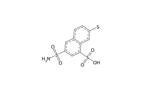 NS(=O)(=O)c1cc(S(=O)(=O)O)c2cc([S])ccc2c1